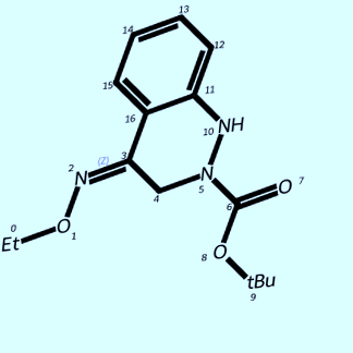 CCO/N=C1\CN(C(=O)OC(C)(C)C)Nc2ccccc21